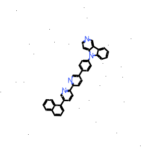 c1ccc2c(-c3ccc(-c4ccc(-c5ccc(-n6c7ccccc7c7cnccc76)cc5)cn4)nc3)cccc2c1